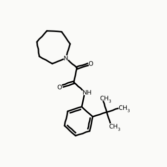 CC(C)(C)c1ccccc1NC(=O)C(=O)N1CCCCCC1